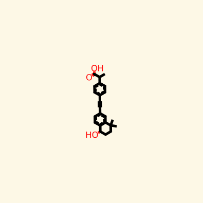 CC(C(=O)O)c1ccc(C#Cc2ccc3c(c2)C(C)(C)CCC3O)cc1